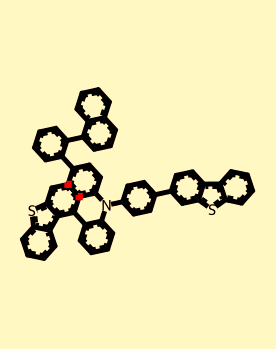 c1ccc(-c2cccc3ccccc23)c(-c2ccc(N(c3ccc(-c4ccc5c(c4)sc4ccccc45)cc3)c3ccccc3-c3cccc4sc5ccccc5c34)cc2)c1